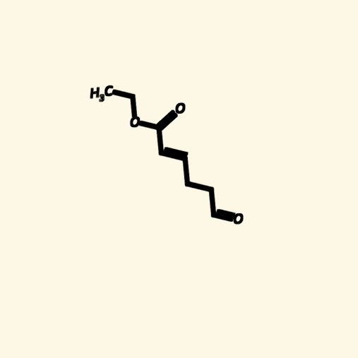 CCOC(=O)C=CCCC=O